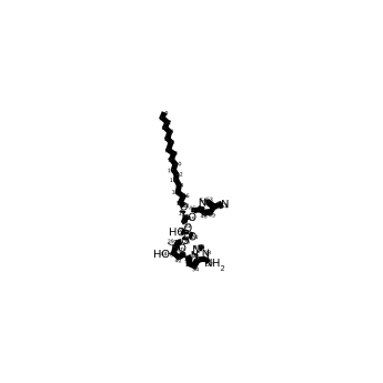 CCCCCCCCCCCCCCCCCCOC[C@@H](COP(=O)(O)OC[C@@]1(C)O[C@@H](c2ccc3c(N)ncnn23)C[C@@H]1O)OCc1ccc(C#N)cn1